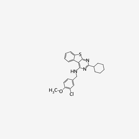 COc1ccc(CNc2nc(C3CCCCC3)nc3sc4ccccc4c23)cc1Cl